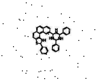 c1ccc(C2NC(c3ccccc3)NC(c3ccc4ccc5ccc6c(c5c4c3)NC(c3ccccc3)S6)N2)cc1